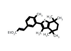 CCOC(=O)/C=C/c1ccc(C)c(-c2sc3c(c2C)C(C)(C)CCC3(C)C)c1